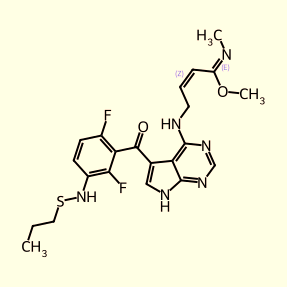 CCCSNc1ccc(F)c(C(=O)c2c[nH]c3ncnc(NC/C=C\C(=N/C)OC)c23)c1F